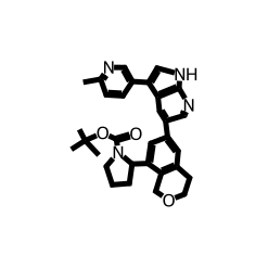 Cc1ccc(-c2c[nH]c3ncc(-c4cc5c(c(C6CCCN6C(=O)OC(C)(C)C)c4)COCC5)cc23)cn1